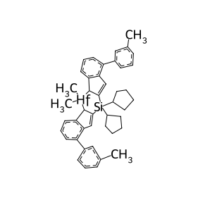 Cc1cccc(-c2cccc3c2C=C2[CH]3[Hf]([CH3])([CH3])[CH]3C(=Cc4c(-c5cccc(C)c5)cccc43)[Si]2(C2CCCC2)C2CCCC2)c1